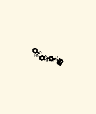 O=C(NC12CC3CC(CC(C3)C1)C2)c1ccc(-c2nc3cc(NC(=O)C4CCCCC4)ccc3[nH]2)cc1